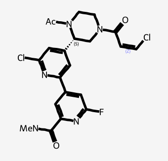 CNC(=O)c1cc(-c2cc([C@H]3CN(C(=O)/C=C\Cl)CCN3C(C)=O)cc(Cl)n2)cc(F)n1